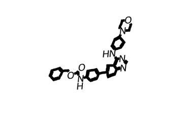 O=C(Nc1ccc(-c2ccc3ncnc(Nc4ccc(N5CCOCC5)cc4)c3c2)cc1)OCc1ccccc1